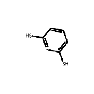 Sc1cccc(S)p1